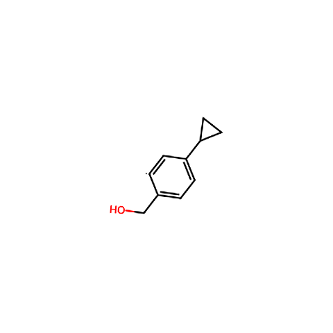 OCc1[c]cc(C2CC2)cc1